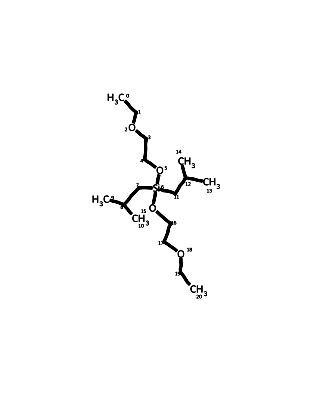 CCOCCO[Si](CC(C)C)(CC(C)C)OCCOCC